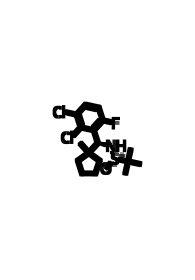 CC1([C@H](N[S+]([O-])C(C)(C)C)c2c(F)ccc(Cl)c2Cl)CCCC1